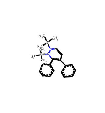 C[Si](C)(C)N1C=CC(c2ccccc2)=C(c2ccccc2)N1[Si](C)(C)C